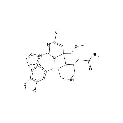 [C]OCC1(N2CCNCC2CC(N)=O)C=C(Cl)N=C(n2ccnc2)N1Cc1ccc2c(c1)OCO2